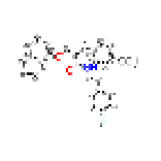 O=C(NCCc1ccc(F)cc1)C(=Cc1ccc(C(=O)O)cc1)COc1cccc2ccccc12